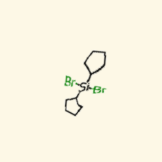 Br[Si](Br)(C1CCCC1)C1CCCC1